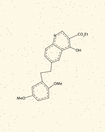 CCOC(=O)c1cnc2ccc(CCc3cc(OC)ccc3OC)cc2c1O